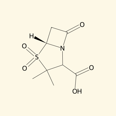 CC1(C)C(C(=O)O)N2C(=O)C[C@H]2S1(=O)=O